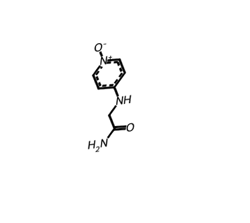 NC(=O)CNc1cc[n+]([O-])cc1